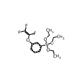 CCO[Si](OCC)(OCC)c1cccc(OC(F)=C(F)F)c1